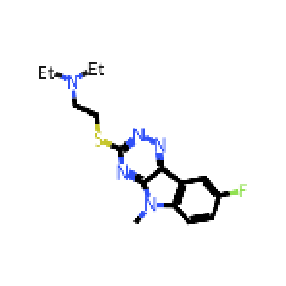 CCN(CC)CCSc1nnc2c3cc(F)ccc3n(C)c2n1